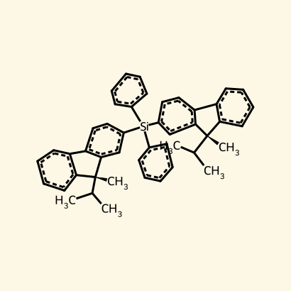 CC(C)[C@@]1(C)c2ccccc2-c2ccc([Si](c3ccccc3)(c3ccccc3)c3ccc4c(c3)[C@](C)(C(C)C)c3ccccc3-4)cc21